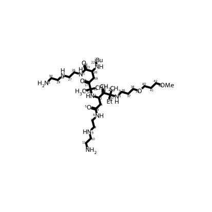 C=C(C(CC(=O)NCCNCCN)NC(C)(C)C(=O)CC(NC(C)CC)C(=O)NCCNCCN)C(C)(CC)NCCCOCCCOC